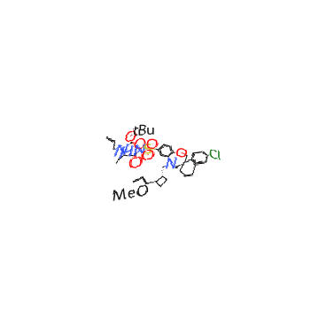 C=CCN(C(=O)OC(C)(C)C)C(C)C(=O)NS(=O)(=O)c1ccc2c(c1)N(C[C@@H]1CC[C@H]1C(C=C)OC)C[C@@]1(CCCc3cc(Cl)ccc31)CO2